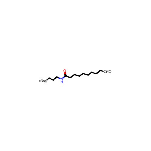 CCCCCCCCCCCCNC(=O)CCCCCCCCC=O